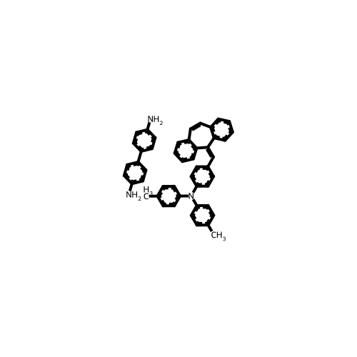 Cc1ccc(N(c2ccc(C)cc2)c2ccc(C=C3c4ccccc4C=Cc4ccccc43)cc2)cc1.Nc1ccc(-c2ccc(N)cc2)cc1